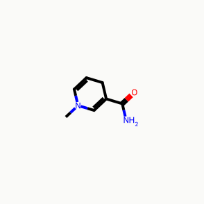 CN1C=CCC(C(N)=O)=C1